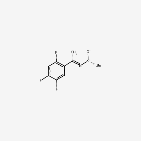 C/C(=N\[S@+]([O-])C(C)(C)C)c1cc(F)c(F)cc1F